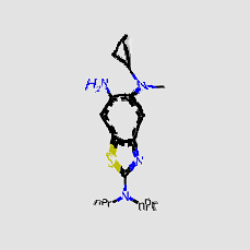 CCCN(CCC)c1nc2cc(N(C)C3CC3)c(N)cc2s1